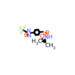 CCOP(=O)(Cc1ccc(-c2noc(C(F)(F)F)n2)cc1)NC1CC1C